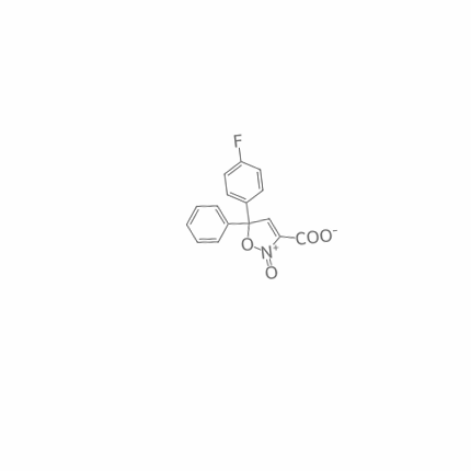 O=C([O-])C1=CC(c2ccccc2)(c2ccc(F)cc2)O[N+]1=O